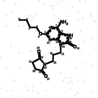 CCCCOc1nc(N)c2[nH]c(=O)n(CCCN3C(=O)CCC3=O)c2n1